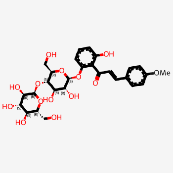 COc1ccc(C=CC(=O)c2c(O)cccc2O[C@@H]2O[C@H](CO)[C@@H](O[C@H]3O[C@H](CO)[C@@H](O)[C@H](O)[C@H]3O)[C@H](O)[C@H]2O)cc1